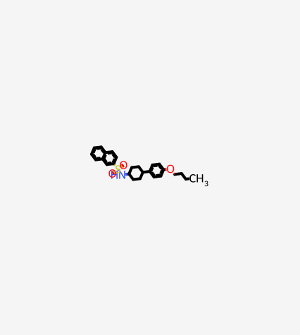 CCCCOc1ccc(C2CCC(NS(=O)(=O)c3ccc4ccccc4c3)CC2)cc1